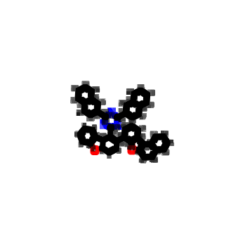 C1=CC2Oc3ccccc3C2C(c2nc(-c3ccc4ccccc4c3)nc(-c3ccc4ccccc4c3)n2)=C1c1cccc2c1oc1ccc3ccccc3c12